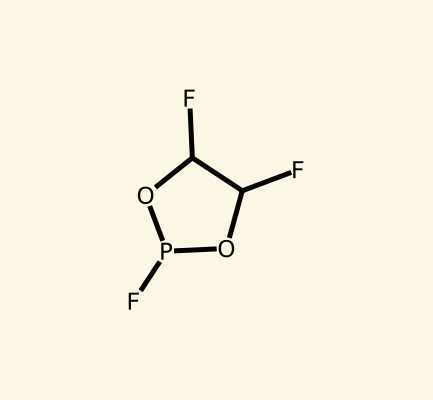 FC1OP(F)OC1F